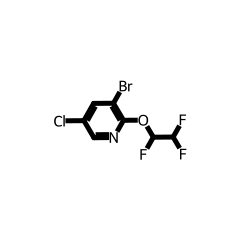 FC(F)C(F)Oc1ncc(Cl)cc1Br